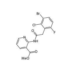 COC(=O)c1cccnc1NC(=O)Cc1c(F)ccc(Br)c1Cl